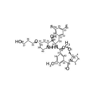 COC[C@H]1CCCN1C(=O)c1cc(C)cc(C(=O)NC(Cc2cc(F)cc(F)c2)[C@H](O)C2C[C@@H](OCCCO)CCN2)c1